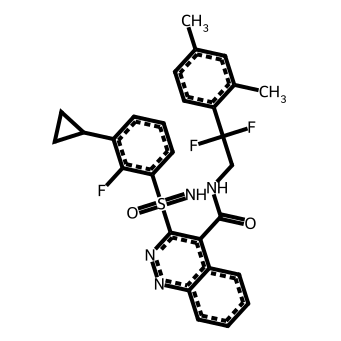 Cc1ccc(C(F)(F)CNC(=O)c2c(S(=N)(=O)c3cccc(C4CC4)c3F)nnc3ccccc23)c(C)c1